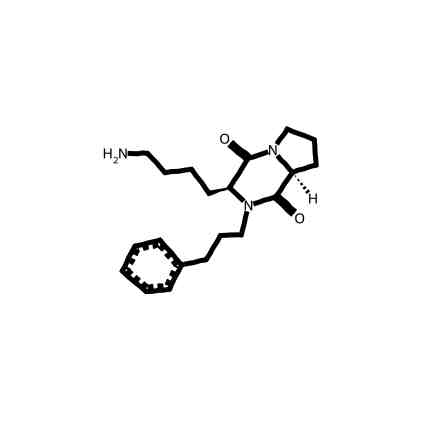 NCCCC[C@H]1C(=O)N2CCC[C@H]2C(=O)N1CCCc1ccccc1